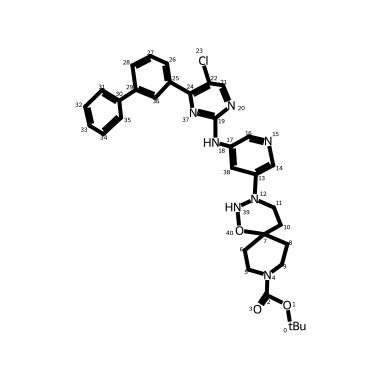 CC(C)(C)OC(=O)N1CCC2(CC1)CCN(c1cncc(Nc3ncc(Cl)c(-c4cccc(-c5ccccc5)c4)n3)c1)NO2